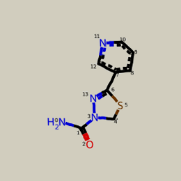 NC(=O)N1[CH]SC(c2cccnc2)=N1